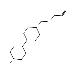 C=CCOC[C@H]1CC[C@H]([C@H]2CC[C@H](C)CC2)CC1